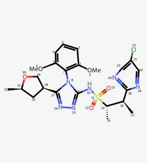 COc1cccc(OC)c1-n1c(NS(=O)(=O)[C@@H](C)[C@H](C)c2ncc(Cl)cn2)nnc1[C@@H]1CO[C@H](C)C1